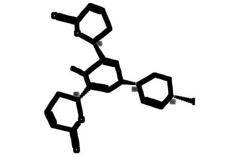 CC1C([C@@H]2CC=CC(=O)O2)=CC([C@H]2C=C[C@@H](I)CC2)C=C1[C@H]1CC=CC(=O)O1